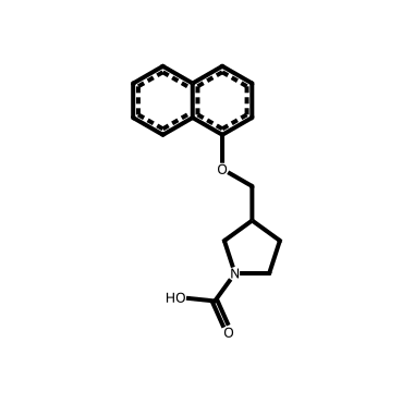 O=C(O)N1CCC(COc2cccc3ccccc23)C1